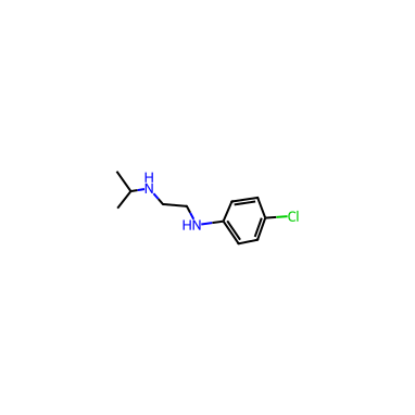 CC(C)NCCNc1ccc(Cl)cc1